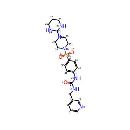 O=C(NCc1cccnc1)Nc1ccc(S(=O)(=O)N2CCN(C3NCCCN3)CC2)cc1